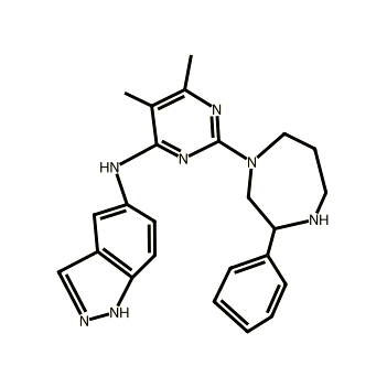 Cc1nc(N2CCCNC(c3ccccc3)C2)nc(Nc2ccc3[nH]ncc3c2)c1C